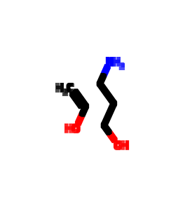 C=CO.NCCCO